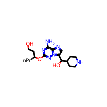 CCCC(CCO)Oc1nc(N)c2ncc(C(O)C3CCNCC3)n2n1